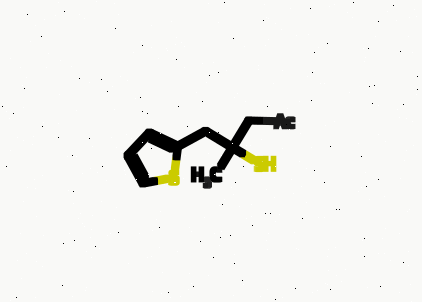 CC(=O)CC(C)(S)Cc1cccs1